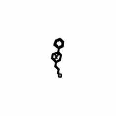 O=CCCC12CCC(c3ccccc3)(CC1)OC2